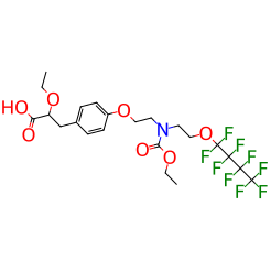 CCOC(=O)N(CCOc1ccc(CC(OCC)C(=O)O)cc1)CCOC(F)(F)C(F)(F)C(F)(F)C(F)(F)F